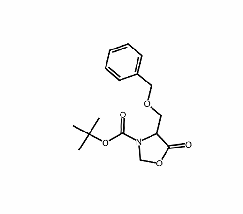 CC(C)(C)OC(=O)N1COC(=O)C1COCc1ccccc1